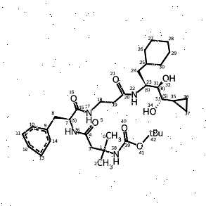 CC(C)(CC(=O)N[C@@H](Cc1ccccc1)C(=O)NCCC(=O)N[C@@H](CC1CCCCC1)[C@@H](O)[C@@H](O)C1CC1)NC(=O)OC(C)(C)C